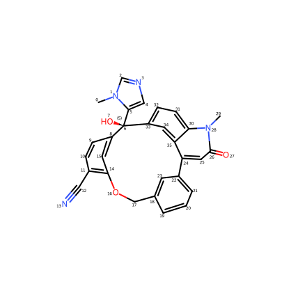 Cn1cncc1[C@@]1(O)c2ccc(C#N)c(c2)OCc2cccc(c2)-c2cc(=O)n(C)c3ccc1cc23